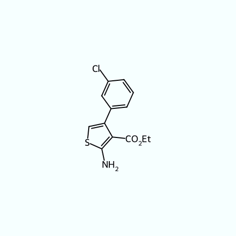 CCOC(=O)c1c(-c2cccc(Cl)c2)csc1N